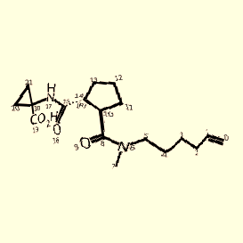 C=CCCCCN(C)C(=O)C1CCC[C@H]1C(=O)NC1(C(=O)O)CC1